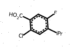 CC(C)c1cc(Cl)c(C(=O)O)cc1F